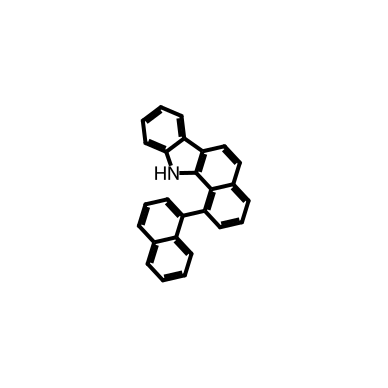 c1ccc2c(-c3cccc4ccc5c6ccccc6[nH]c5c34)cccc2c1